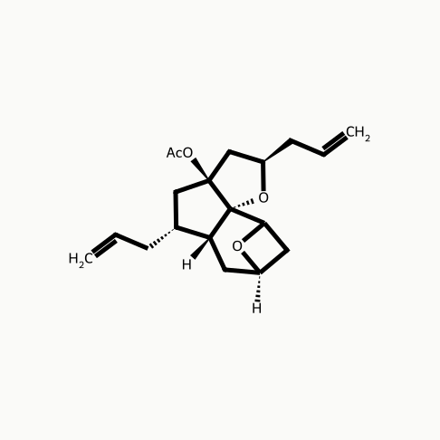 C=CC[C@@H]1C[C@@]2(OC(C)=O)C[C@@H](CC=C)[C@H]3C[C@@H]4CC(O4)[C@@]32O1